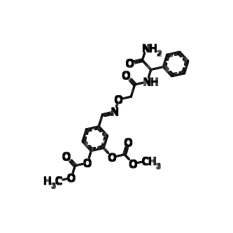 COC(=O)Oc1ccc(/C=N/OCC(=O)NC(C(N)=O)c2ccccc2)cc1OC(=O)OC